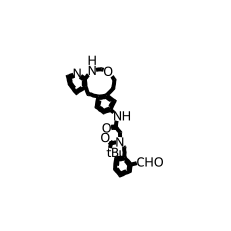 CC(C)(C)C(=O)N(CC(=O)Nc1ccc2c(c1)CCOCNc1ncccc1C2)Cc1ccccc1C=O